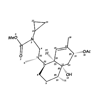 COC(=O)N(C[C@@H](C)[C@@H]1CC[C@@H](C)[C@]2(O)[C][C@@H](OC(C)=O)C(C)=C[C@H]12)C1CC1